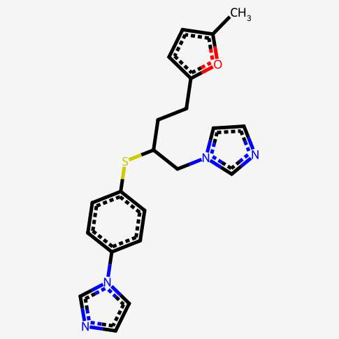 Cc1ccc(CCC(Cn2ccnc2)Sc2ccc(-n3ccnc3)cc2)o1